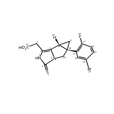 O=C(O)Cc1[nH]c(=S)n2c1[C@@H]1C[C@]1(c1cc(Br)ccc1F)C2